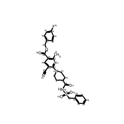 Cc1nc(N2CCC(C(=O)NS(=O)(=O)Cc3ccccc3)CC2)c(C#N)cc1C(=O)OCc1ccc(F)cc1